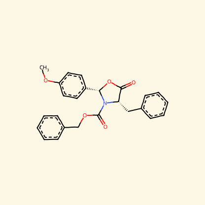 COc1ccc([C@@H]2OC(=O)[C@H](Cc3ccccc3)N2C(=O)OCc2ccccc2)cc1